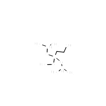 CCC[Si](OC)(O[SiH](C)C)O[SiH](C)C